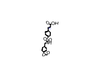 O=C(O)/C=C/c1ccc(S(=O)(=O)NCc2ccc3c(c2)OCO3)cc1